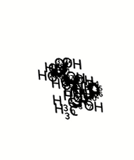 CC(C)C[C@H](O)[C@H](O)[C@@H](N)CC1CCCCC1.NC(CO)(CO)CO.O=C(O)CC(O)(CC(=O)O)C(=O)O